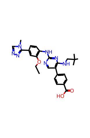 CCOc1cc(-c2nncn2C)ccc1Nc1ncc(-c2ccc(C(=O)O)cc2)c(NCC(C)(C)C)n1